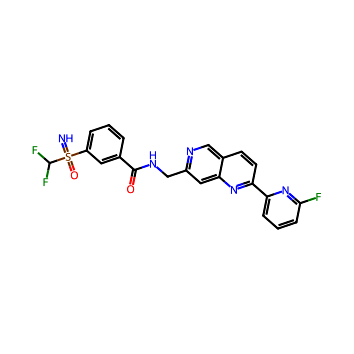 N=S(=O)(c1cccc(C(=O)NCc2cc3nc(-c4cccc(F)n4)ccc3cn2)c1)C(F)F